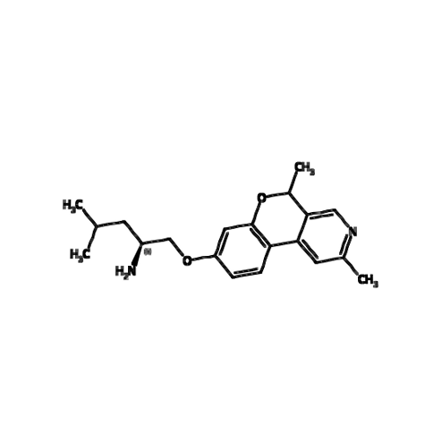 Cc1cc2c(cn1)C(C)Oc1cc(OC[C@@H](N)CC(C)C)ccc1-2